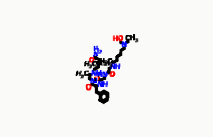 C=C(CCCCCN(CC)CO)NCC(=O)NCC(=O)NC(Cc1ccccc1)C(=O)NCC(=C)NCCC(C)(C)CC(N)=O